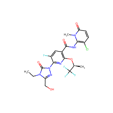 CCn1c(CO)nn(-c2nc(O[C@@H](C)C(F)(F)F)c(C(=O)Nc3c(Cl)ccc(=O)n3C)cc2F)c1=O